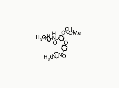 COCC(C)Oc1cc(Oc2ccc(C(=O)N3CCN(C)CC3)cc2)cc(C(=O)Nc2ccn(C)n2)c1